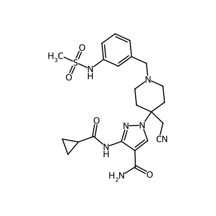 CS(=O)(=O)Nc1cccc(CN2CCC(CC#N)(n3cc(C(N)=O)c(NC(=O)C4CC4)n3)CC2)c1